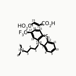 CN(C)CCCN1c2ccccc2Sc2ccc(C(F)(F)F)cc21.O=C(O)C=CC(=O)O